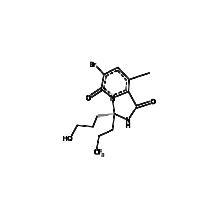 Cc1cc(Br)c(=O)n2c1C(=O)N[C@@]2(CCCO)CCC(F)(F)F